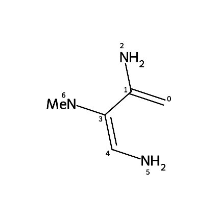 C=C(N)/C(=C\N)NC